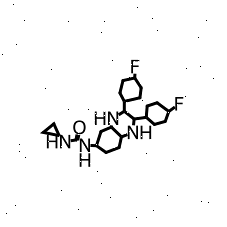 O=C(NC1CC1)NC1CCC2NC(C3CCC(F)CC3)C(C3CCC(F)CC3)NC2C1